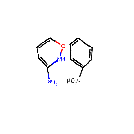 NC1=CC=CON1.O=C(O)c1ccccc1